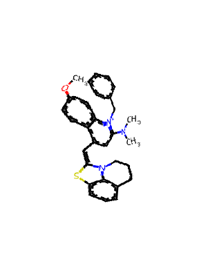 COc1ccc2c(C=C3Sc4cccc5c4N3CCC5)cc(N(C)C)[n+](Cc3ccccc3)c2c1